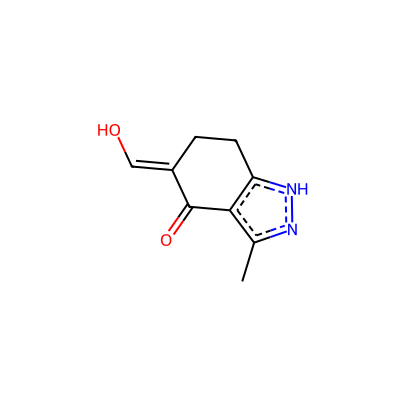 Cc1n[nH]c2c1C(=O)/C(=C/O)CC2